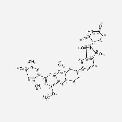 COc1cc(-c2cn(C)c(=O)cc2C)cc(OC)c1CN1CCN(c2ccc3c(c2)C(=O)N(C2CCC(=O)NC2=O)C3=O)CC1